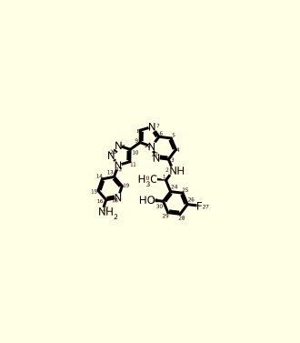 C[C@@H](Nc1ccc2ncc(-c3cn(-c4ccc(N)nc4)nn3)n2n1)c1cc(F)ccc1O